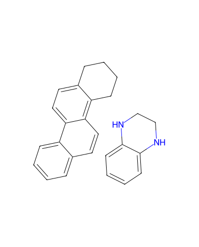 c1ccc2c(c1)NCCN2.c1ccc2c(c1)ccc1c3c(ccc12)CCCC3